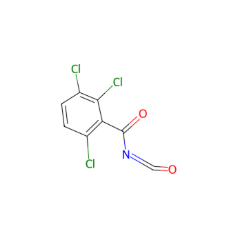 O=C=NC(=O)c1c(Cl)ccc(Cl)c1Cl